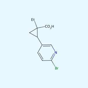 CCC1(C(=O)O)CC1c1ccc(Br)nc1